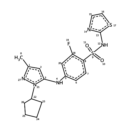 Cc1cc(Nc2ccc(S(=O)(=O)Nc3nccs3)c(F)c2)n(C2CCCC2)n1